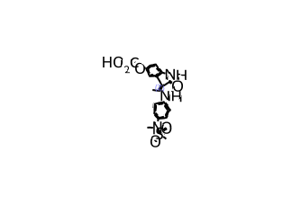 C/C(Nc1ccc(N(C)S(C)(=O)=O)cc1)=C1/C(=O)Nc2ccc(OC(=O)O)cc21